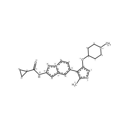 Cc1onc(OC2CCN(C)CC2)c1-c1ccn2nc(NC(=O)C3CC3)cc2c1